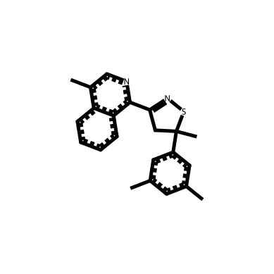 Cc1cc(C)cc(C2(C)CC(c3ncc(C)c4ccccc34)=NS2)c1